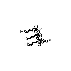 O=S(=O)([O-])CCCCS.O=S(=O)([O-])CCCCS.O=S(=O)([O-])CCCCS.[Au+3]